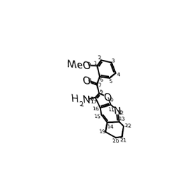 COc1ccccc1C(=O)c1oc2nc3c(cc2c1N)CCCC3